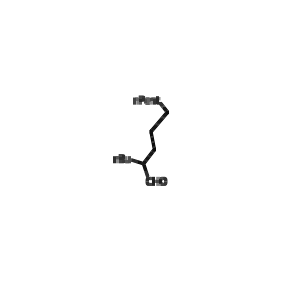 CCCCCCCCC(C=O)CCCC